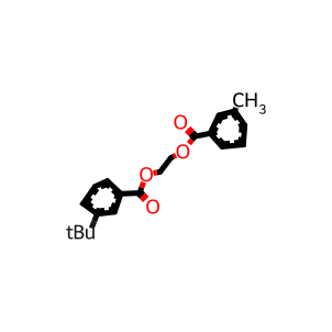 Cc1cccc(C(=O)OCCOC(=O)c2cccc(C(C)(C)C)c2)c1